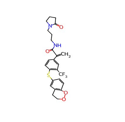 C=C(C(=O)NCCCN1CCCC1=O)c1ccc(Sc2ccc3c(c2)CCOO3)c(C(F)(F)F)c1